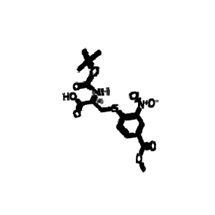 COC(=O)c1ccc(SC[C@H](NC(=O)OC(C)(C)C)C(=O)O)c([N+](=O)[O-])c1